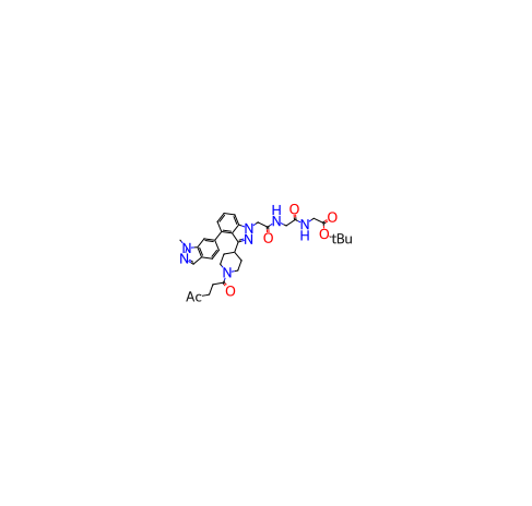 CC(=O)CCC(=O)N1CCC(c2nn(CC(=O)NCC(=O)NCC(=O)OC(C)(C)C)c3cccc(-c4ccc5cnn(C)c5c4)c23)CC1